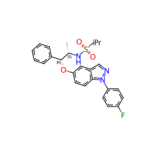 CC(C)S(=O)(=O)N[C@@H](C)[C@H](Oc1ccc2c(cnn2-c2ccc(F)cc2)c1)c1ccccc1